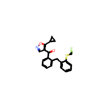 O=C(c1ccccc1Cc1ccccc1SCF)c1cnoc1C1CC1